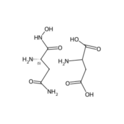 NC(=O)C[C@H](N)C(=O)NO.NC(CC(=O)O)C(=O)O